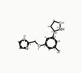 Fc1cc(OCc2nccs2)cc([C@H]2CCON2)c1